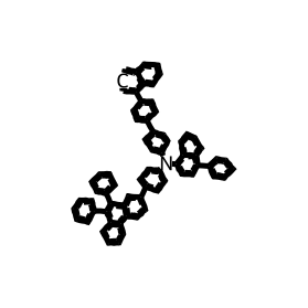 c1ccc(-c2ccc(N(c3ccc(-c4ccc(-c5cccc6ccccc56)cc4)cc3)c3ccc(-c4ccc5c(c4)c(-c4ccccc4)c(-c4ccccc4)c4ccccc45)cc3)c3ccccc23)cc1